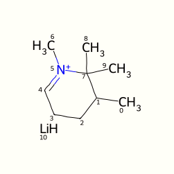 CC1CCC=[N+](C)C1(C)C.[LiH]